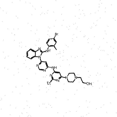 CCc1nc(Nc2cc(-n3c(Nc4ccc(Br)cc4C)nc4ccccc43)ncn2)cc(N2CCN(CCO)CC2)n1